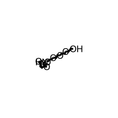 O=C1C=CC(=O)N1NOCCOCCOCCOCCO